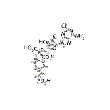 Nc1nc(Cl)nc2c1ncn2[C@@H]1O[C@H](COC(Cc2ccc(/C=C/C(=O)O)cc2)(C(=O)O)C(=O)O)[C@@H](O)[C@@H]1F